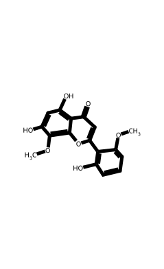 COc1cccc(O)c1-c1cc(=O)c2c(O)cc(O)c(OC)c2o1